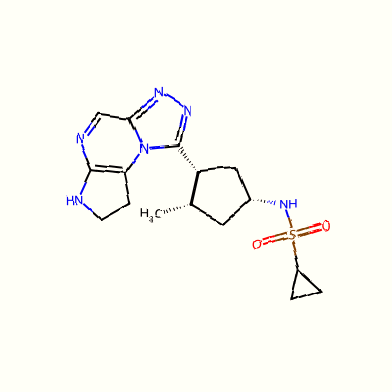 C[C@H]1C[C@@H](NS(=O)(=O)C2CC2)C[C@H]1c1nnc2cnc3c(n12)CCN3